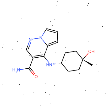 C[C@]1(O)CC[C@@H](Nc2c(C(N)=O)cnn3cccc23)CC1